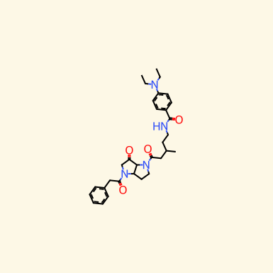 CCN(CC)c1ccc(C(=O)NCCC(C)CC(=O)N2CCC3C2C(=O)CN3C(=O)Cc2ccccc2)cc1